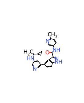 C=C(Nc1cncc(-c2ccc3[nH]nc(C(=O)Nc4ccc(C)nc4)c3c2)c1)C1CC1